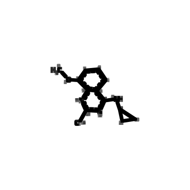 COc1cccc2c(NC3CC3)nc(Cl)nc12